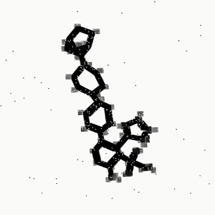 NS(=O)(=O)c1c(C(F)(F)F)ccc(-c2ccc(C3CCN(C4CC5CCC4N5)CC3)cc2)c1-c1nnn[nH]1